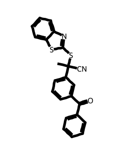 CC(C#N)(Sc1nc2ccccc2s1)c1cccc(C(=O)c2ccccc2)c1